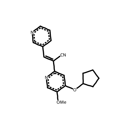 COc1cnc(C(C#N)=Cc2cccnc2)cc1OC1CCCC1